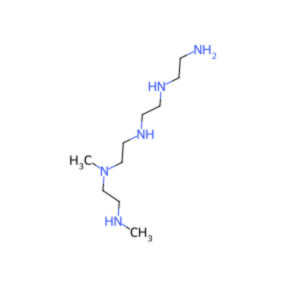 CNCCN(C)CCNCCNCCN